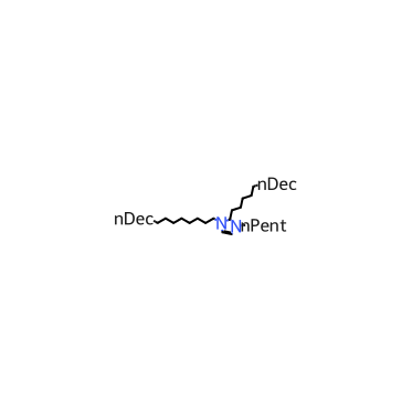 CCCCCCCCCCCCCCCCCCN1C=CN(CCCCC)C1CCCCCCCCCCCCCCC